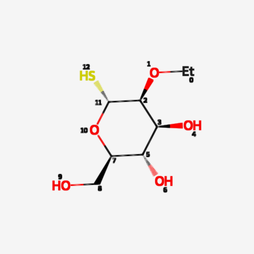 CCO[C@H]1[C@@H](O)[C@H](O)[C@@H](CO)O[C@@H]1S